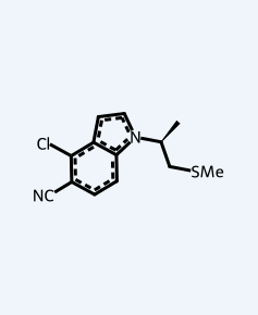 CSC[C@H](C)n1ccc2c(Cl)c(C#N)ccc21